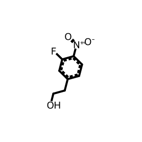 O=[N+]([O-])c1ccc(CCO)cc1F